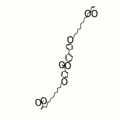 C=CC(=O)OCCCCCCCCCOc1ccc(-c2ccc(OC(=O)c3ccc(OCCCCCCCCC4CC(=C)C(=O)O4)cc3)cc2)cc1